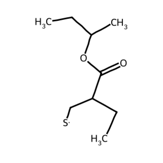 CCC(C)OC(=O)C(CC)C[S]